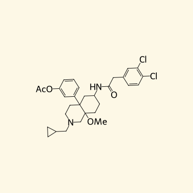 COC12CCC(NC(=O)Cc3ccc(Cl)c(Cl)c3)CC1(c1cccc(OC(C)=O)c1)CCN(CC1CC1)C2